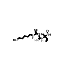 C=CC(C)(NCC)NC(=N)NC(=N)NCCCCCC(C)(C)C